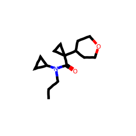 CCCN(C(=O)C1(C2CCOCC2)CC1)C1CC1